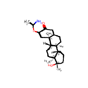 CC(N)OC1C[C@@]2(C)C(CC[C@@H]3[C@@H]2CC[C@@]2(C)[C@H]3CC[C@]2(C)O)CC1=O